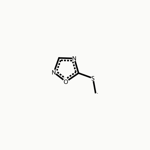 [CH2]Sc1ncno1